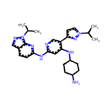 CC(C)n1ccc(-c2cnc(Nc3ccc4cnn(C(C)C)c4n3)cc2NC2CCC(N)CC2)n1